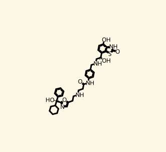 O=C(CCNCCc1cnc([C@](O)(c2ccccc2)C2CCCCC2)o1)Nc1ccc(CNC[C@H](O)c2ccc(O)c3[nH]c(=O)sc23)cc1